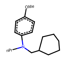 CCCN(CC1CCCCC1)c1ccc(OC)cc1